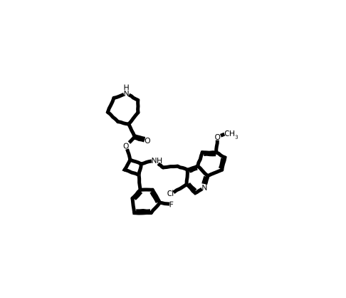 COc1ccc2ncc(Cl)c(CCNC3C(OC(=O)C4CCCNCC4)CC3c3cccc(F)c3)c2c1